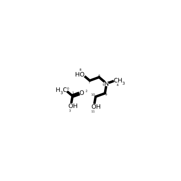 CC(=O)O.CN(CCO)CCO